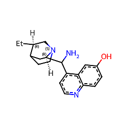 CC[C@H]1C[N@@]2CCC1C[C@@H]2C(N)c1ccnc2ccc(O)cc12